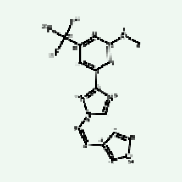 COc1cc(-c2ncn(/C=C\c3ccoc3)n2)cc(C(F)(F)F)c1